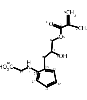 C=C(C)C(=O)OCC(O)Cc1ccccc1NCC(=O)O